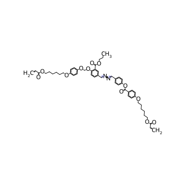 C=CC(=O)OCCCCCCOc1ccc(OCOc2ccc(/C=N/N=C/c3ccc(OC(=O)c4ccc(OCCCCCCOC(=O)C=C)cc4)cc3)cc2C(=O)OCCC)cc1